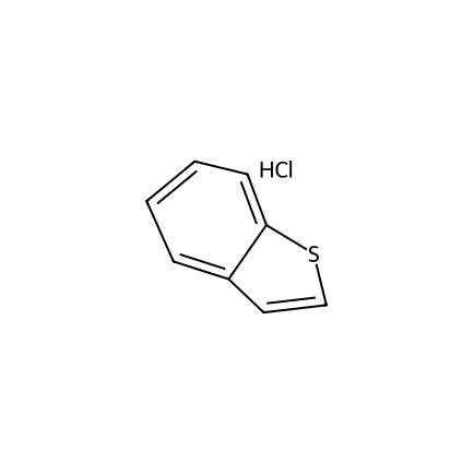 Cl.c1ccc2sccc2c1